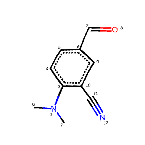 CN(C)c1ccc(C=O)cc1C#N